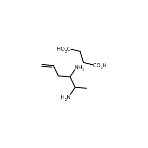 C=CCC(N)C(C)N.O=C(O)CCC(=O)O